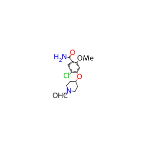 COc1cc(OC2CCN(C=O)CC2)c(Cl)cc1C(N)=O